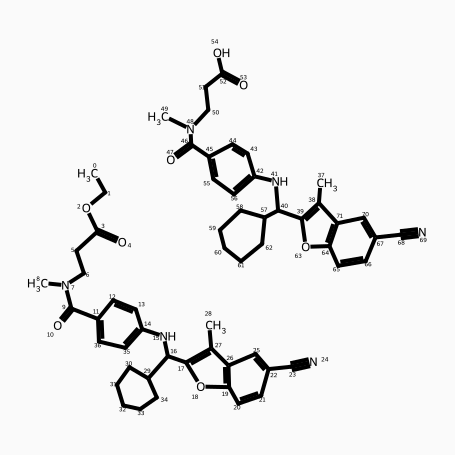 CCOC(=O)CCN(C)C(=O)c1ccc(NC(c2oc3ccc(C#N)cc3c2C)C2CCCCC2)cc1.Cc1c(C(Nc2ccc(C(=O)N(C)CCC(=O)O)cc2)C2CCCCC2)oc2ccc(C#N)cc12